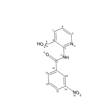 O=C(Nc1ncccc1C(=O)O)c1cccc([N+](=O)[O-])c1